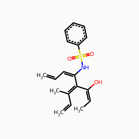 C=C\C=C(NS(=O)(=O)c1ccccc1)/C(=C(\C)C=C)C(/O)=C\C